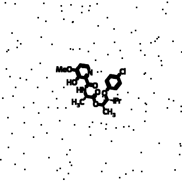 COc1ccnc(C(=O)N[C@@H](C)C(=O)O[C@@H](C)[C@H](Oc2ccc(Cl)cc2)C(C)C)c1O